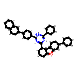 N/C(=N\C(=N/Cc1ccc(-c2ccc3ccccc3c2)cc1)c1cccc2oc3cc(-c4ccccc4)ccc3c12)c1ccccc1